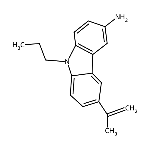 C=C(C)c1ccc2c(c1)c1cc(N)ccc1n2CCC